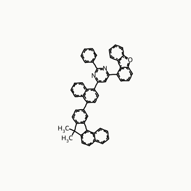 CC1(C)c2ccc(-c3ccc(-c4cc(-c5cccc6oc7ccccc7c56)nc(-c5ccccc5)n4)c4ccccc34)cc2-c2c1ccc1ccccc21